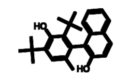 Cc1cc(C(C)(C)C)c(O)c(C(C)(C)C)c1-c1c(O)ccc2ccccc12